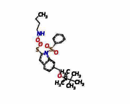 CCCCNOOSc1cc2ccc(CO[Si](C)(C)C(C)(C)C)cc2n1S(=O)(=O)c1ccccc1